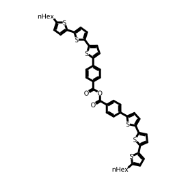 CCCCCCc1ccc(-c2ccc(-c3ccc(-c4ccc(C(=O)OC(=O)c5ccc(-c6ccc(-c7ccc(-c8ccc(CCCCCC)s8)s7)s6)cc5)cc4)s3)s2)s1